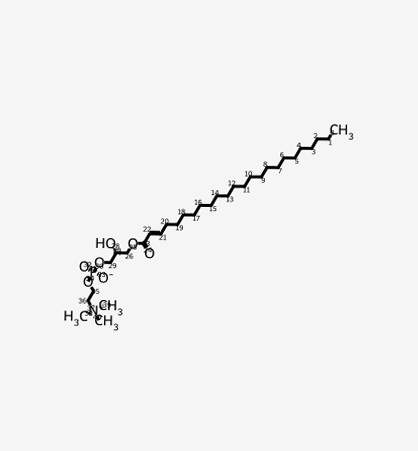 CCCCCCCCCCCCCCCCCCCCCC=CC(=O)OC[C@@H](O)COP(=O)([O-])OCC[N+](C)(C)C